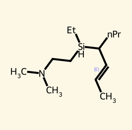 C/C=C/C(CCC)[SiH](CC)CCN(C)C